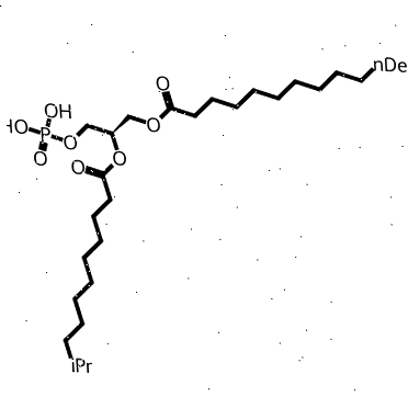 CCCCCCCCCCCCCCCCCCCC(=O)OC[C@H](COP(=O)(O)O)OC(=O)CCCCCCCCC(C)C